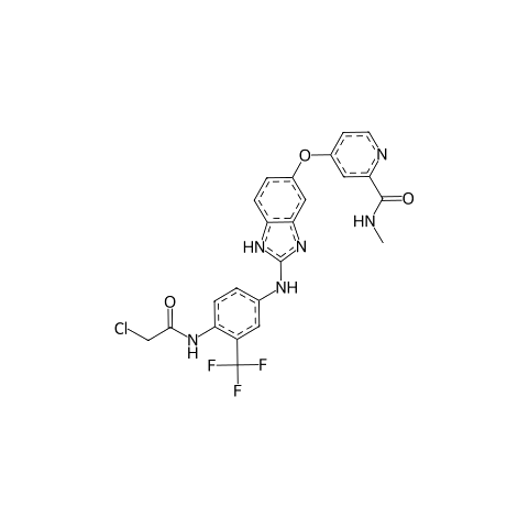 CNC(=O)c1cc(Oc2ccc3[nH]c(Nc4ccc(NC(=O)CCl)c(C(F)(F)F)c4)nc3c2)ccn1